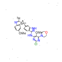 [2H]C1=Nc2ccc(OC)cc2[C@]12C[C@H]2c1ccc2c(Nc3nc(Cl)nc(N4CCOCC4)c3OC)n[nH]c2c1